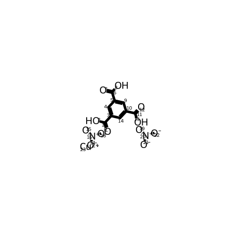 O=C(O)c1cc(C(=O)O)cc(C(=O)O)c1.O=[N+]([O-])[O-].O=[N+]([O-])[O-].[Cu+2]